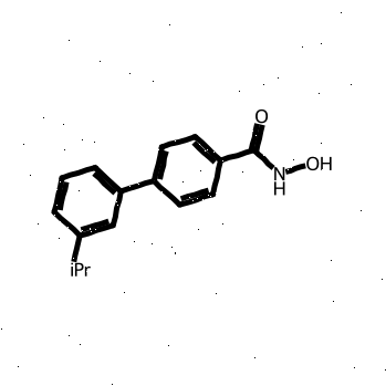 CC(C)c1cccc(-c2ccc(C(=O)NO)cc2)c1